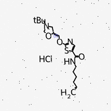 C=CCCCCNC(=O)c1cnc(O/C=C2/CN(C(C)(C)C)CO2)s1.Cl